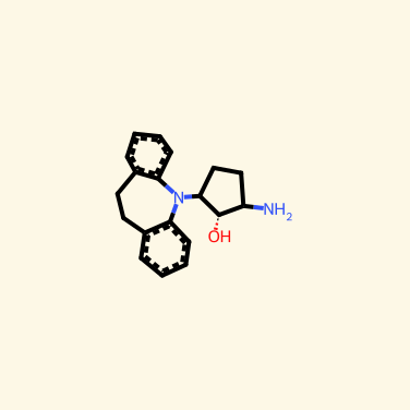 NC1CCC(N2c3ccccc3CCc3ccccc32)[C@H]1O